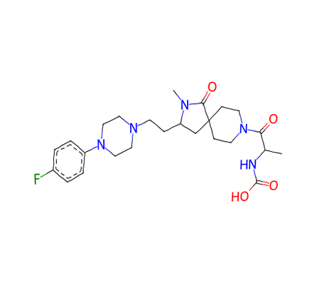 CC(NC(=O)O)C(=O)N1CCC2(CC1)CC(CCN1CCN(c3ccc(F)cc3)CC1)N(C)C2=O